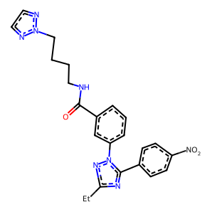 CCc1nc(-c2ccc([N+](=O)[O-])cc2)n(-c2cccc(C(=O)NCCCCn3nccn3)c2)n1